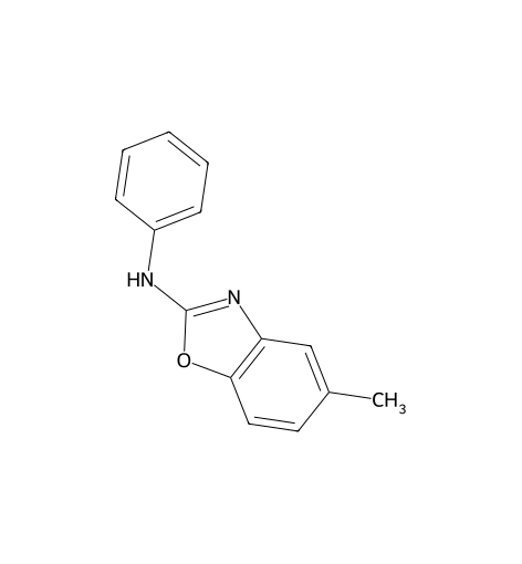 Cc1ccc2oc(Nc3ccccc3)nc2c1